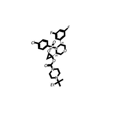 CCC(C)(C)N1CCN(C(=O)OC2([C@H]3COC[C@@H](c4cc(F)cc(F)c4)N3S(=O)(=O)c3ccc(Cl)cc3)CC2)CC1